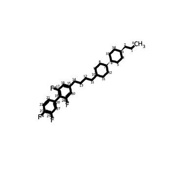 CCC[C@H]1CC[C@H](C2CCC(CCCCc3cc(F)c(-c4ccc(F)c(F)c4)c(F)c3)CC2)CC1